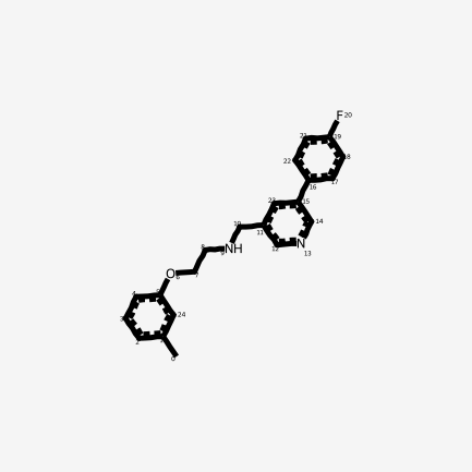 Cc1cccc(OCCNCc2cncc(-c3ccc(F)cc3)c2)c1